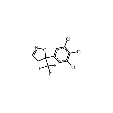 FC(F)(F)C1(c2cc(Cl)c(Cl)c(Cl)c2)CC=NO1